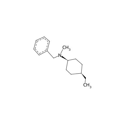 CC[C@H]1CC[C@@H](N(C)Cc2ccccc2)CC1